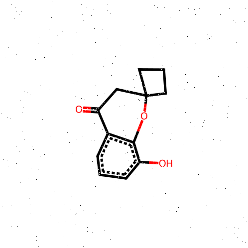 O=C1CC2(CCC2)Oc2c(O)cccc21